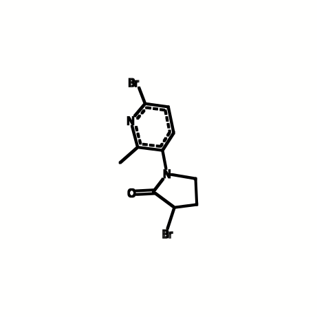 Cc1nc(Br)ccc1N1CCC(Br)C1=O